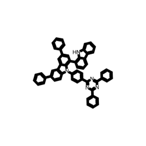 c1ccc(-c2ccc3c(c2)c2cc(-c4ccccc4)cc(-c4cccc5c4[nH]c4ccccc45)c2n3-c2ccc(-c3nc(-c4ccccc4)nc(-c4ccccc4)n3)cc2)cc1